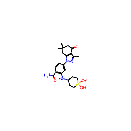 Cc1nn(-c2ccc(C(N)=O)c(NC3CCS(O)(O)CC3)c2)c2c1C(=O)CC(C)(C)C2